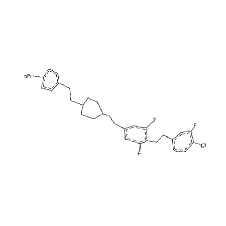 CCCc1ccc(CCC2CCC(CCc3cc(F)c(CCc4ccc(Cl)c(F)c4)c(F)c3)CC2)cc1